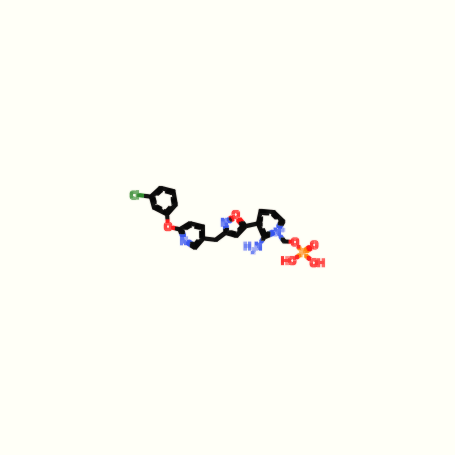 Nc1c(-c2cc(Cc3ccc(Oc4cccc(Cl)c4)nc3)no2)ccc[n+]1COP(=O)(O)O